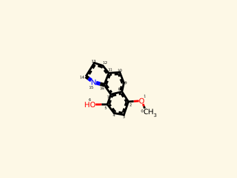 COc1ccc(O)c2c1ccc1cccnc12